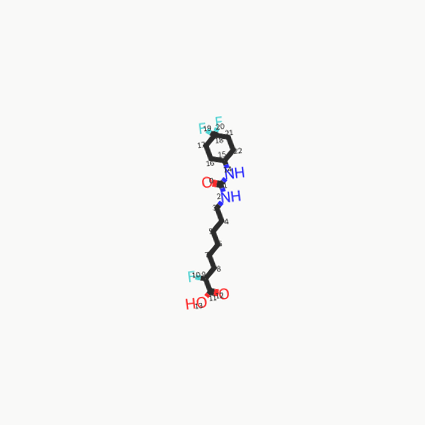 O=C(NCCCCCCC(F)C(=O)O)NC1CCC(F)(F)CC1